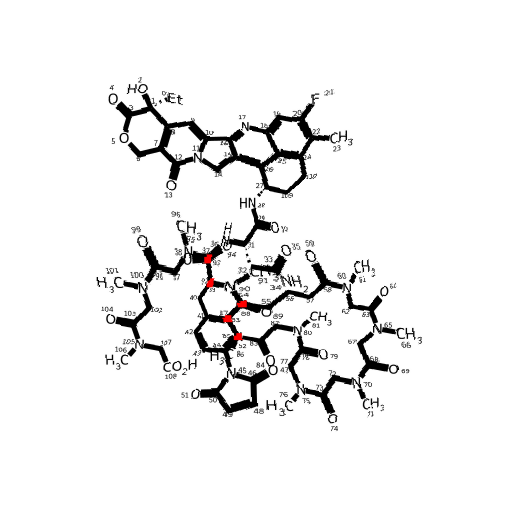 CC[C@@]1(O)C(=O)OCc2c1cc1n(c2=O)Cc2c-1nc1cc(F)c(C)c3c1c2[C@@H](NC(=O)[C@H](CC(N)=O)NC(=O)CCc1ccc(N2C(=O)C=CC2=O)cc1OCCCC(=O)N(C)CC(=O)N(C)CC(=O)N(C)CC(=O)N(C)CC(=O)N(C)CC(=O)N(C)CC(=O)N(C)CC(=O)N(C)CC(=O)N(C)CC(=O)N(C)CC(=O)O)CC3